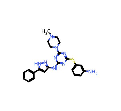 CN1CCN(c2nc(Nc3cc(-c4ccccc4)[nH]n3)nc(Sc3cccc(N)c3)n2)CC1